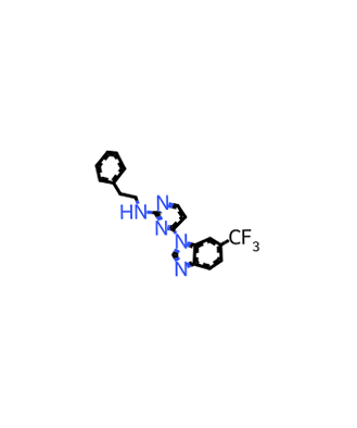 FC(F)(F)c1ccc2ncn(-c3ccnc(NCCc4ccccc4)n3)c2c1